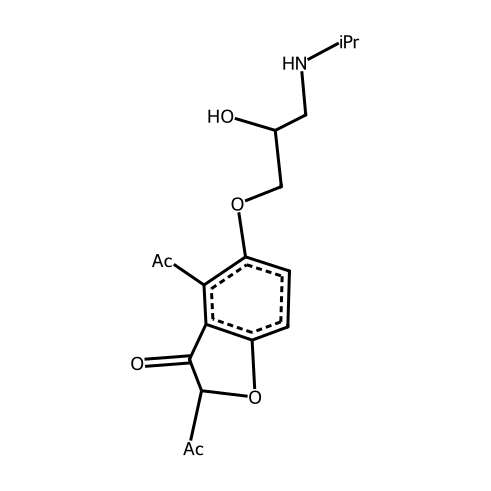 CC(=O)c1c(OCC(O)CNC(C)C)ccc2c1C(=O)C(C(C)=O)O2